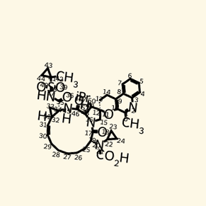 Cc1nc2ccccc2c2c1O[C@@]1(CC2)CN2C(=O)[C@@H](N(C(=O)O)C3CC3)CCCCC/C=C\[C@@H]3C[C@@]3(C(=O)NS(=O)(=O)C3(C)CC3)NC(=O)[C@@H]2C1C(C)C